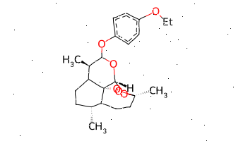 CCOc1ccc(OC2O[C@@H]3O[C@]4(C)CCC5[C@H](C)CCC([C@H]2C)[C@]53OO4)cc1